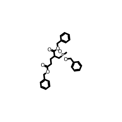 CP(=O)(CC(CCC(=O)OCc1ccccc1)C(=O)OCc1ccccc1)OCc1ccccc1